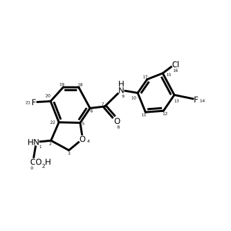 O=C(O)NC1COc2c(C(=O)Nc3ccc(F)c(Cl)c3)ccc(F)c21